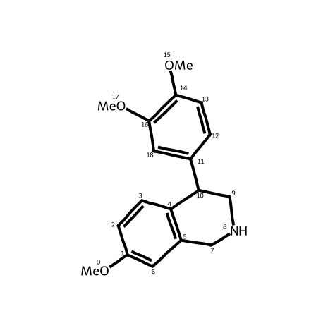 COc1ccc2c(c1)CNCC2c1ccc(OC)c(OC)c1